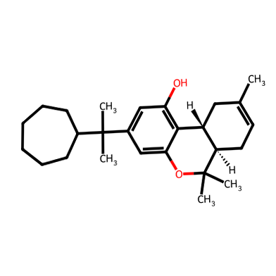 CC1=CC[C@@H]2[C@@H](C1)c1c(O)cc(C(C)(C)C3CCCCCC3)cc1OC2(C)C